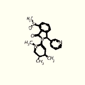 CC1C=C(N2C(=O)c3c(cccc3[S+](C)[O-])C2c2cccnc2)N(C)C[C@@H]1C